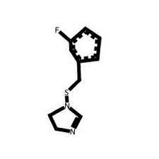 Fc1cccc(CSN2C=NCC2)c1